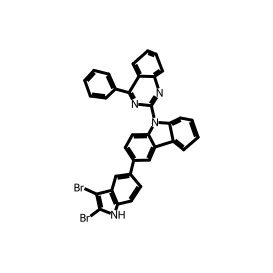 Brc1[nH]c2ccc(-c3ccc4c(c3)c3ccccc3n4-c3nc(-c4ccccc4)c4ccccc4n3)cc2c1Br